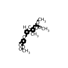 CCOCC1(COCC)Cc2c(cc(C)c(-c3cccc(COc4ccc5c(c4)CO[C@H]5OC(C)=O)c3)c2C)O1